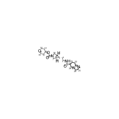 O=C(NCC[C@@H]1[C@H]2CN(C(=O)OC3CCOCC3)C[C@@H]12)c1ccc2nccn2c1